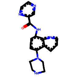 O=C(Nc1ccc(N2CCNCC2)c2cccnc12)c1cnccn1